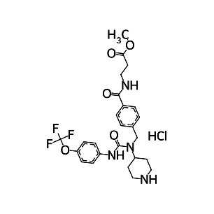 COC(=O)CCNC(=O)c1ccc(CN(C(=O)Nc2ccc(OC(F)(F)F)cc2)C2CCNCC2)cc1.Cl